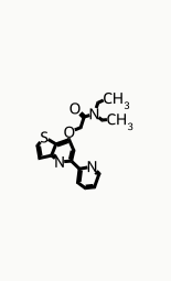 CCN(CC)C(=O)COc1cc(-c2ccccn2)nc2ccsc12